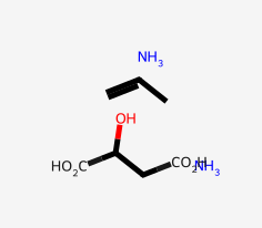 C=CC.N.N.O=C(O)CC(O)C(=O)O